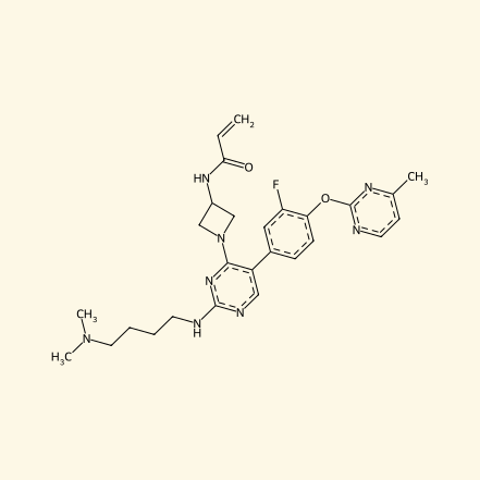 C=CC(=O)NC1CN(c2nc(NCCCCN(C)C)ncc2-c2ccc(Oc3nccc(C)n3)c(F)c2)C1